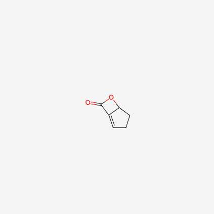 O=C1OC2CCC=C12